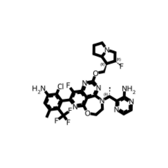 Cc1cc(N)c(Cl)c(-c2nc3c4c(nc(OC[C@H]5C6CCCN6C[C@@H]5F)nc4c2F)N([C@H](C)c2nccnc2N)CCO3)c1C(F)(F)F